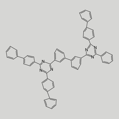 c1ccc(-c2ccc(-c3nc(-c4ccccc4)nc(-c4cccc(-c5cccc(-c6nc(-c7ccc(-c8ccccc8)cc7)nc(-c7ccc(-c8ccccc8)cc7)n6)c5)c4)n3)cc2)cc1